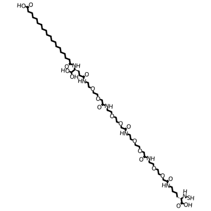 O=C(O)CCCCCCCCCCCCCCCCCCC(=O)N[C@@H](CCC(=O)NCCOCCOCC(=O)NCCOCCOCC(=O)NCCOCCOCC(=O)NCCOCCOCC(=O)NCCCC[C@H](NS)C(=O)O)C(O)O